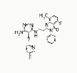 Cc1ccc(F)c2c(=O)n(-c3ccccc3)c(CCNc3ncnc(N)c3C#Cc3ccc(F)cn3)nc12